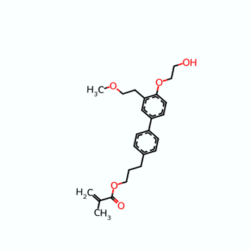 C=C(C)C(=O)OCCCc1ccc(-c2ccc(OCCO)c(CCOC)c2)cc1